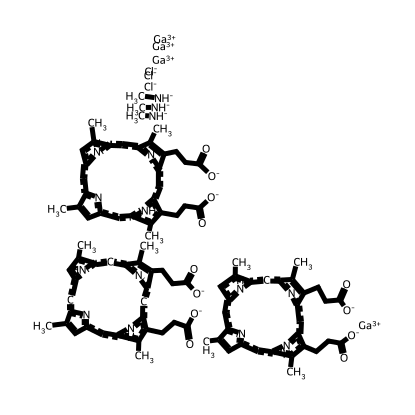 CC1=Cc2cc3[nH]c(cc4nc(cc5[nH]c(cc1n2)cc5C)C(C)=C4CCC(=O)[O-])c(CCC(=O)[O-])c3C.CC1=Cc2cc3[nH]c(cc4nc(cc5[nH]c(cc1n2)cc5C)C(C)=C4CCC(=O)[O-])c(CCC(=O)[O-])c3C.CC1=Cc2cc3[nH]c(cc4nc(cc5[nH]c(cc1n2)cc5C)C(C)=C4CCC(=O)[O-])c(CCC(=O)[O-])c3C.C[NH-].C[NH-].C[NH-].[Cl-].[Cl-].[Cl-].[Ga+3].[Ga+3].[Ga+3].[Ga+3]